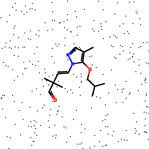 Cc1cnn(/C=C/C(C)(C)C=O)c1OCC(C)C